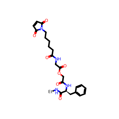 CCNC(=O)[C@H](Cc1ccccc1)NC(=O)COC(=O)CNC(=O)CCCCCN1C(=O)C=CC1=O